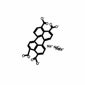 O=C([O-])c1ccc2c3ccc(C(=O)[O-])c4c(C(=O)[O-])ccc(c5ccc(C(=O)[O-])c1c25)c43.[Na+].[Na+].[Na+].[Na+]